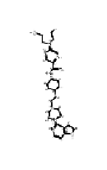 CCCN(CCO)c1cnc(C(=O)N[C@H]2CC[C@H](CCN3CCN(c4nccc5c4CCO5)CC3)CC2)cn1